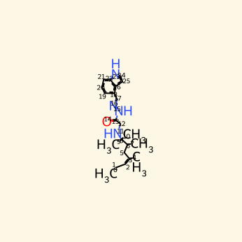 CC/C=C(/C)CC(C)C(C)(C)NCC(=O)N/N=C/c1cccc2[nH]ccc12